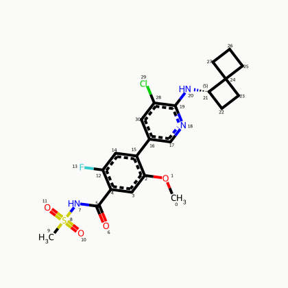 COc1cc(C(=O)NS(C)(=O)=O)c(F)cc1-c1cnc(N[C@H]2CCC23CCC3)c(Cl)c1